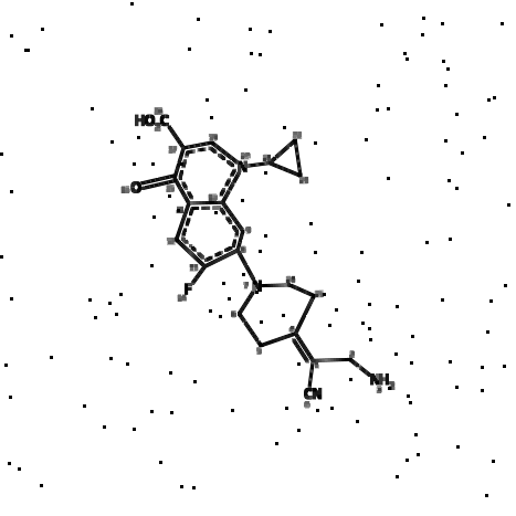 N#CC(CN)=C1CCN(c2cc3c(cc2F)c(=O)c(C(=O)O)cn3C2CC2)CC1